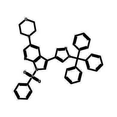 O=S(=O)(c1ccccc1)n1cc(-c2cnn(C(c3ccccc3)(c3ccccc3)c3ccccc3)c2)c2cc(N3CCOCC3)cnc21